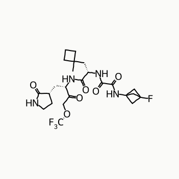 CC1(C[C@H](NC(=O)C(=O)NC23CC(F)(C2)C3)C(=O)N[C@@H](C[C@@H]2CCNC2=O)C(=O)COC(F)(F)F)CCC1